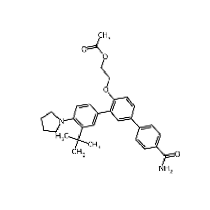 CC(=O)OCCOc1ccc(-c2ccc(C(N)=O)cc2)cc1-c1ccc(N2CCCC2)c(C(C)(C)C)c1